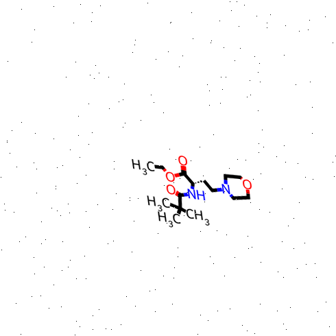 CCOC(=O)[C@H](CCN1CCOCC1)NC(=O)C(C)(C)C